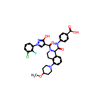 COC1CCN(c2cccc3c2CCN(C(=O)c2cn(-c4cccc(Cl)c4F)nc2O)C3C(=O)Nc2ccc(C(=O)O)cc2)CC1